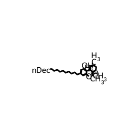 CCCCCCCCCCCCCCCCCCCCc1cc(O)c2c(c1)OC(C)(C)[C@@H]1CCC(C)=C[C@@H]21